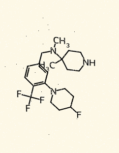 CN(Cc1ccc(C(F)(F)F)c(N2CCC(F)CC2)c1)C1(C)CCNCC1